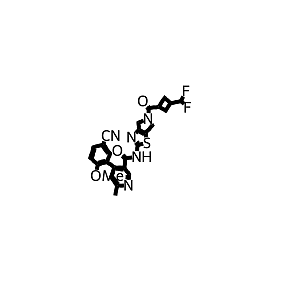 COc1ccc(C#N)cc1-c1cc(C)ncc1C(=O)Nc1nc2c(s1)CN(C(=O)C1CC(C(F)F)C1)C2